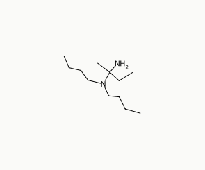 CCCCN(CCCC)C(C)(N)CC